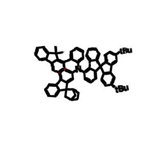 CC(C)(C)c1ccc2c(c1)-c1cc(C(C)(C)C)ccc1C21c2ccccc2-c2c(N(c3ccc4c(c3)C3(CC5CCC3C5)c3ccccc3-4)c3ccccc3-c3cccc4c3C(C)(C)c3ccccc3-4)cccc21